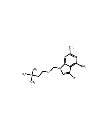 Cc1nc(N)c2c(Br)cn(COCC[Si](C)(C)C)c2n1